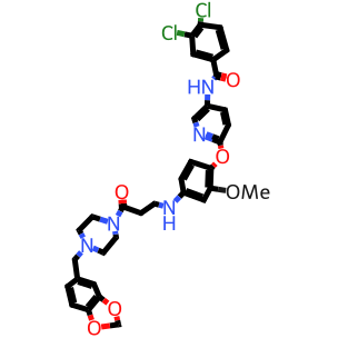 COc1cc(NCCC(=O)N2CCN(Cc3ccc4c(c3)OCO4)CC2)ccc1Oc1ccc(NC(=O)c2ccc(Cl)c(Cl)c2)cn1